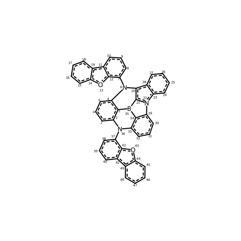 c1cc2c3c(c1)N(c1cccc4c1oc1ccccc14)c1c4n(c5ccccc15)-c1cccc(c1B34)N2c1cccc2c1oc1ccccc12